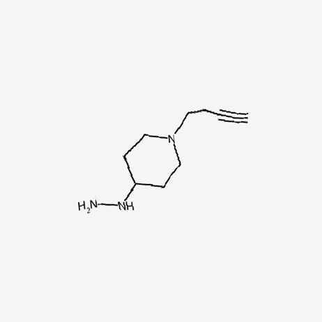 C#CCN1CCC(NN)CC1